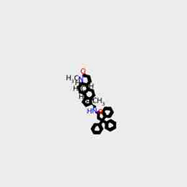 CN1C(=O)C=C[C@]2(C)[C@H]3CC[C@]4(C)[C@@H](CNC(=O)CC(c5ccccc5)(c5ccccc5)c5ccccc5)CC[C@H]4[C@@H]3CC[C@@H]12